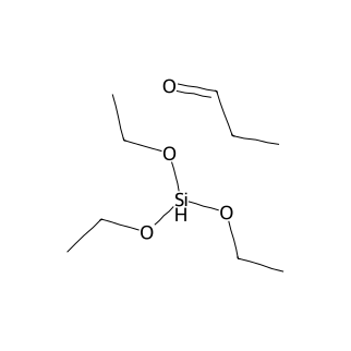 CCC=O.CCO[SiH](OCC)OCC